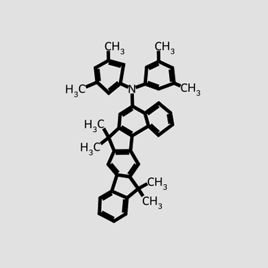 Cc1cc(C)cc(N(c2cc(C)cc(C)c2)c2cc3c(c4ccccc24)-c2cc4c(cc2C3(C)C)-c2ccccc2C4(C)C)c1